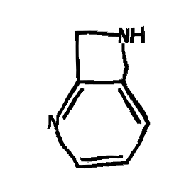 c1cnc2c(c1)NC2